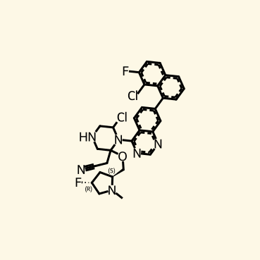 CN1C[C@H](F)C[C@H]1COC1(CC#N)CNCC(Cl)N1c1ncnc2cc(-c3cccc4ccc(F)c(Cl)c34)ccc12